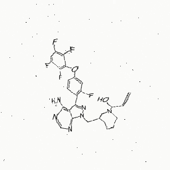 C=CC(O)N1CCCC(Cn2nc(-c3ccc(Oc4c(F)c(F)cc(F)c4F)cc3F)c3c(N)ncnc32)C1